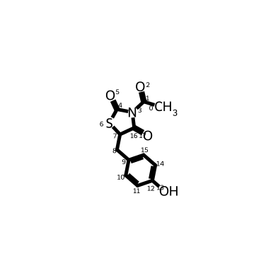 CC(=O)N1C(=O)SC(Cc2ccc(O)cc2)C1=O